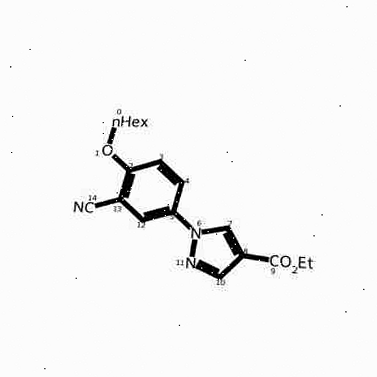 CCCCCCOc1ccc(-n2cc(C(=O)OCC)cn2)cc1C#N